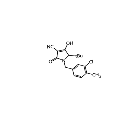 Cc1ccc(CN2C(=O)C(C#N)=C(O)C2C(C)(C)C)cc1Cl